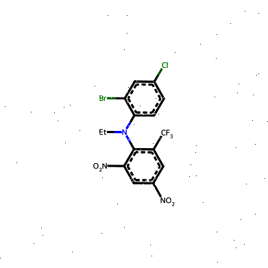 CCN(c1ccc(Cl)cc1Br)c1c([N+](=O)[O-])cc([N+](=O)[O-])cc1C(F)(F)F